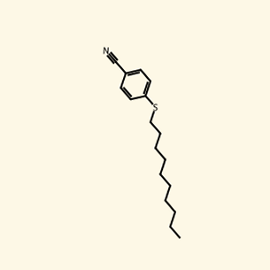 CCCCCCCCCCSc1ccc(C#N)cc1